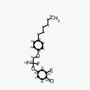 CCCCCCc1ccc(OCC(F)(F)Oc2ccc(Cl)c(F)c2)cc1